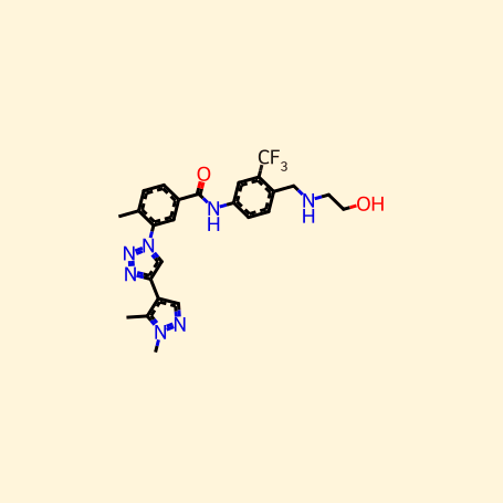 Cc1ccc(C(=O)Nc2ccc(CNCCO)c(C(F)(F)F)c2)cc1-n1cc(-c2cnn(C)c2C)nn1